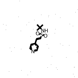 CC(C)(C)NS(=O)(=O)C=Cc1ccncc1